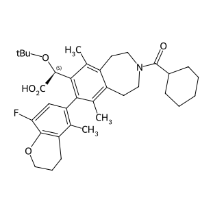 Cc1c(-c2c(C)c3c(c(C)c2[C@H](OC(C)(C)C)C(=O)O)CCN(C(=O)C2CCCCC2)CC3)cc(F)c2c1CCCO2